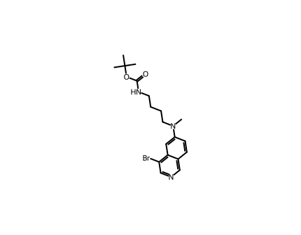 CN(CCCCNC(=O)OC(C)(C)C)c1ccc2cncc(Br)c2c1